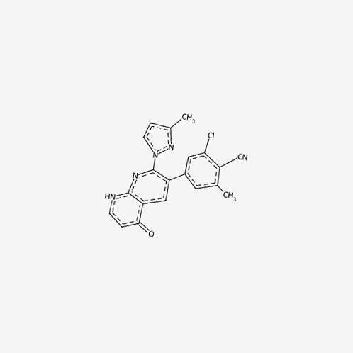 Cc1ccn(-c2nc3[nH]ccc(=O)c3cc2-c2cc(C)c(C#N)c(Cl)c2)n1